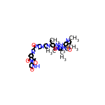 CCc1cc(Nc2ncc(C)c(Nc3ccc4nc(C)ccc4c3P(C)(C)=O)n2)c(OC)cc1N1CCC(N2CCN(C(=O)C3CN(c4ccc5c(c4)C4(CC4)N(C4CCC(=O)NC4=O)C5=O)C3)CC2)CC1